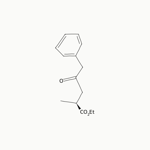 CCOC(=O)[C@@H](C)CC(=O)Cc1ccccc1